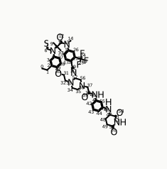 CCc1cc(N(C=S)C(C)(C)C(=O)N(C)c2ccc(C#N)c(C(F)(F)F)c2)ccc1OCCN1CCN(CC(=O)Nc2cccc(NC3CCC(=O)NC3=O)c2)CC1